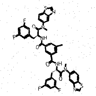 Cc1cc(C(=O)N[C@@H](Cc2cc(F)cc(F)c2)C(=O)N(C)c2ccc3scnc3c2)cc(C(=O)N[C@@H](Cc2cc(F)cc(F)c2)C(=O)N(C)c2ccc3scnc3c2)c1